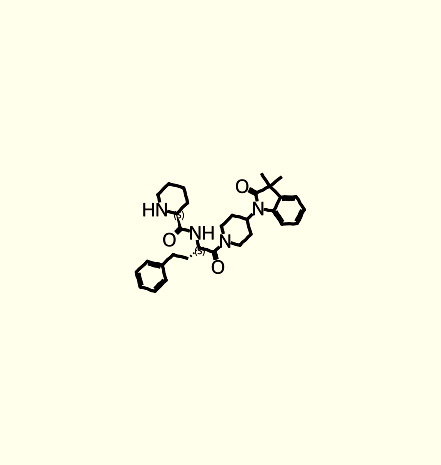 CC1(C)C(=O)N(C2CCN(C(=O)[C@H](CCc3ccccc3)NC(=O)[C@@H]3CCCCN3)CC2)c2ccccc21